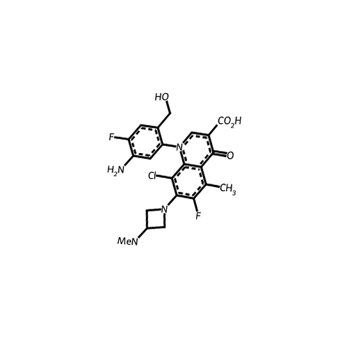 CNC1CN(c2c(F)c(C)c3c(=O)c(C(=O)O)cn(-c4cc(N)c(F)cc4CO)c3c2Cl)C1